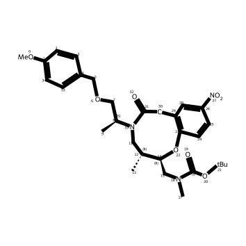 COc1ccc(COC[C@H](C)N2C[C@@H](C)[C@H](CN(C)C(=O)OC(C)(C)C)Oc3ccc([N+](=O)[O-])cc3CC2=O)cc1